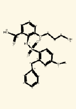 COc1ccc(S(=O)(=O)Nc2c(OCCCO)cccc2C(=O)O)c(Cc2ccccc2)c1